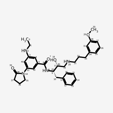 CCNc1cc(C(=O)N[C@@H](Cc2ccccc2)[C@H](O)CNCCCc2cccc(OC)c2)cc(N2CCCC2=O)c1